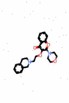 O=c1c(OCCN2CCc3ccccc3C2)c(N2CCOCC2)oc2ccccc12